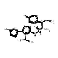 CO[C@H](c1ncc(Cl)cn1)[C@H](C)S(=O)(=O)Nc1nnc(-c2ccc(C)o2)n1C(C)C